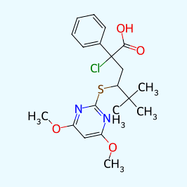 COc1cc(OC)nc(SC(CC(Cl)(C(=O)O)c2ccccc2)C(C)(C)C)n1